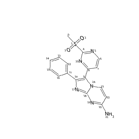 CS(=O)(=O)c1nccc(-c2c(-c3ccccc3)nc3nc(N)ccn23)n1